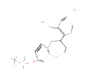 COc1ccc(C2CCCc3cc(O[Si](C)(C)C(C)(C)C)ccc3C2)c(CCN)c1